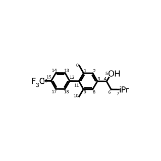 Cc1cc(C(O)CC(C)C)cc(C)c1-c1ccc(C(F)(F)F)cc1